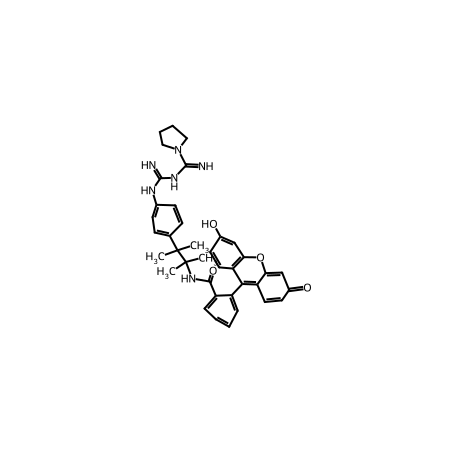 CC(C)(NC(=O)c1ccccc1-c1c2ccc(=O)cc-2oc2cc(O)ccc12)C(C)(C)c1ccc(NC(=N)NC(=N)N2CCCC2)cc1